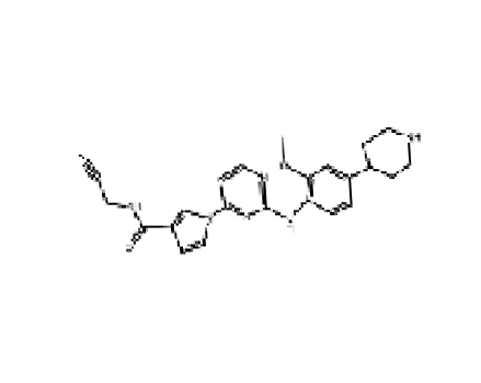 COc1cc(C2CCNCC2)ccc1Nc1nccc(-n2ccc(C(=O)NCC#N)c2)n1